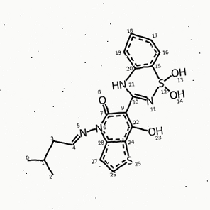 CC(C)C/C=N/n1c(=O)c(C2=NS(O)(O)c3ccccc3N2)c(O)c2sccc21